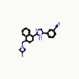 CC1CN(Cc2ccc(C3=NCC(c4cccc(C#N)c4)N3)c3ccccc23)C1